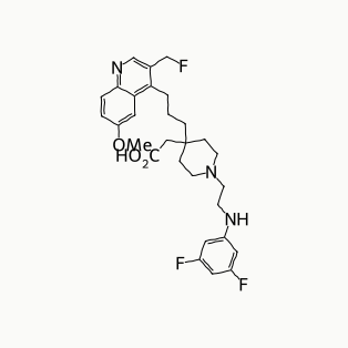 COc1ccc2ncc(CF)c(CCCC3(CC(=O)O)CCN(CCNc4cc(F)cc(F)c4)CC3)c2c1